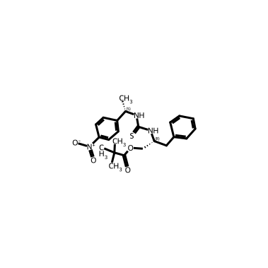 C[C@H](NC(=S)N[C@@H](COC(=O)C(C)(C)C)Cc1ccccc1)c1ccc([N+](=O)[O-])cc1